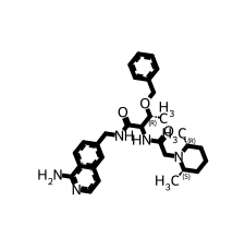 C[C@@H]1CCC[C@H](C)N1CC(=O)NC(C(=O)NCc1ccc2c(N)nccc2c1)[C@@H](C)OCc1ccccc1